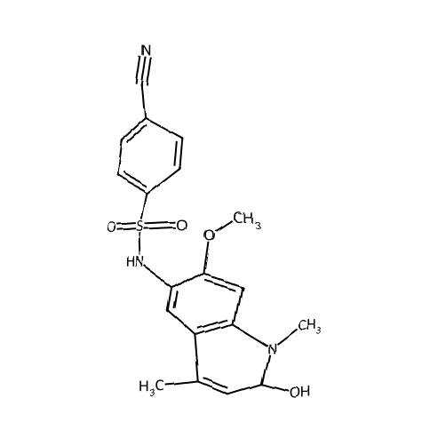 COc1cc2c(cc1NS(=O)(=O)c1ccc(C#N)cc1)C(C)=CC(O)N2C